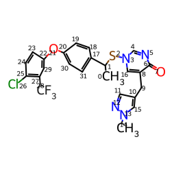 CC(Sn1cnc(=O)c(Cc2cnn(C)c2)c1)c1ccc(Oc2ccc(Cl)c(C(F)(F)F)c2)cc1